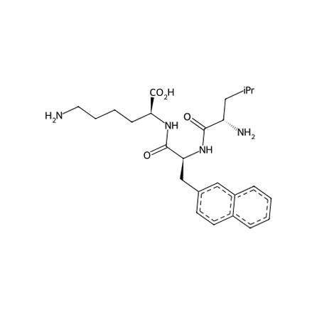 CC(C)C[C@H](N)C(=O)N[C@@H](Cc1ccc2ccccc2c1)C(=O)N[C@@H](CCCCN)C(=O)O